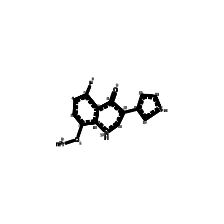 CCCOc1ccc(F)c2c(=O)c(-c3ccsc3)c[nH]c12